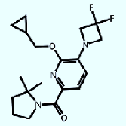 CC1(C)CCCN1C(=O)c1ccc(N2CC(F)(F)C2)c(OCC2CC2)n1